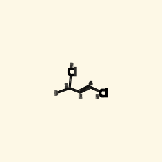 CC(Cl)C=CCl